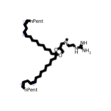 CCCCC/C=C\C/C=C\CCCCCCCCC1(CCCCCCCC/C=C\C/C=C\CCCCC)OCC(CN(C)CCNC(=N)N)O1